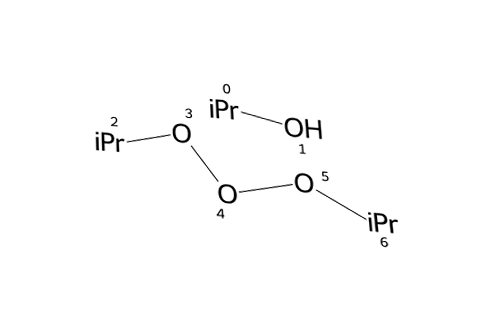 CC(C)O.CC(C)OOOC(C)C